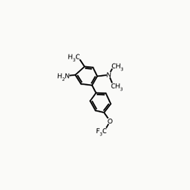 Cc1cc(N(C)C)c(-c2ccc(OC(F)(F)F)cc2)cc1N